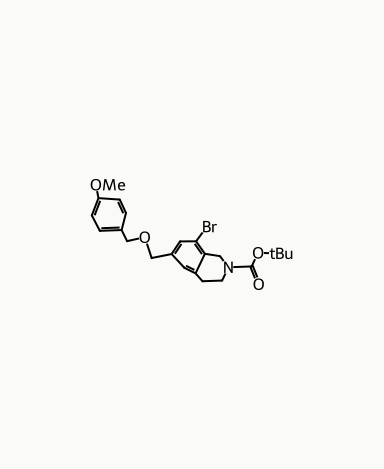 COc1ccc(COCc2cc(Br)c3c(c2)CCN(C(=O)OC(C)(C)C)C3)cc1